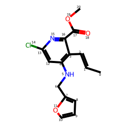 C/C=C/c1c(NCc2ccco2)cc(Cl)nc1C(=O)OC